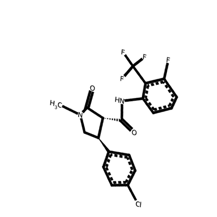 CN1C[C@H](c2ccc(Cl)cc2)[C@@H](C(=O)Nc2cccc(F)c2C(F)(F)F)C1=O